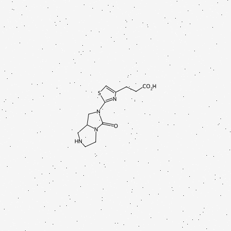 O=C(O)CCc1csc(N2CC3CNCCN3C2=O)n1